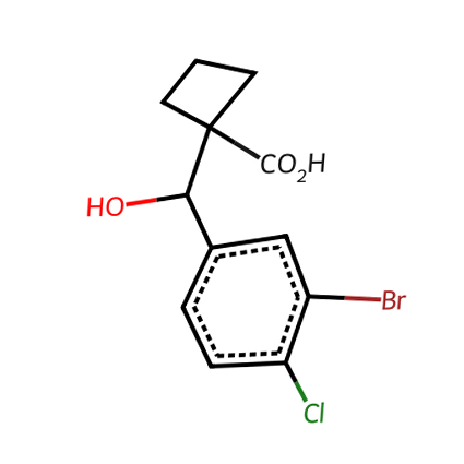 O=C(O)C1(C(O)c2ccc(Cl)c(Br)c2)CCC1